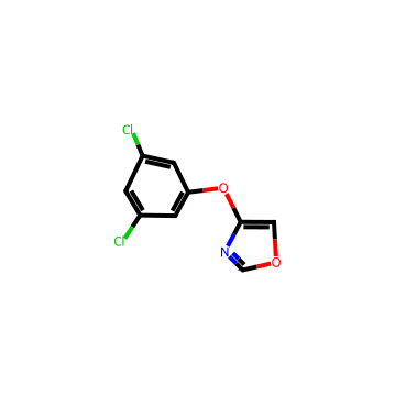 Clc1cc(Cl)cc(Oc2co[c]n2)c1